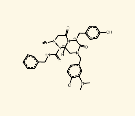 CCCN1CC(=O)N2[C@@H](Cc3ccc(O)cc3)C(=O)N(Cc3ccc(Cl)c(N(C)C)c3)C[C@@H]2N1C(=O)NCc1ccccc1